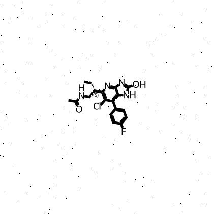 CC[C@@H](CNC(C)=O)c1nc2nc(O)[nH]c2c(-c2ccc(F)cc2)c1Cl